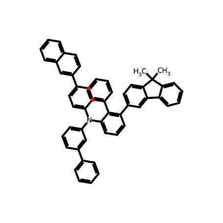 CC1(C)c2ccccc2-c2cc(-c3cccc(N(c4ccc(-c5ccc6ccccc6c5)cc4)c4cccc(-c5ccccc5)c4)c3-c3ccccc3)ccc21